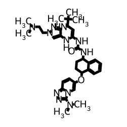 CN(C)CCn1cc(N/C(=C\C(=N)C(C)(C)C)NC(=O)NC2CCC(Oc3ccc4nnc(N(C)C)n4c3)c3ccccc32)cn1